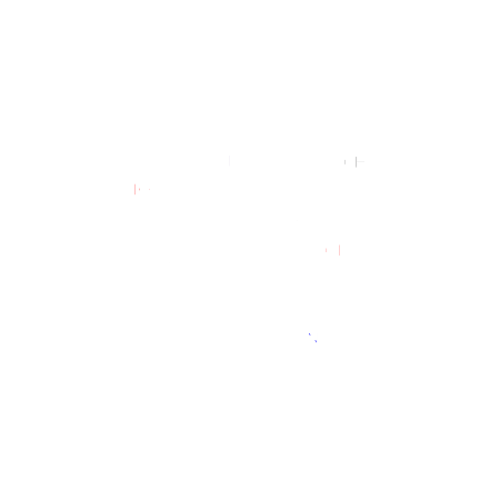 CCC(O)c1c(C#N)cc(I)c(O)c1I